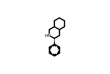 c1ccc([C@@H]2CC3CCCCC3CN2)cc1